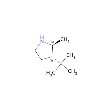 C[C@@H]1NCC[C@H]1C(C)(C)C